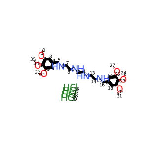 COc1cc(CNCCNCCNCCNCc2cc(OC)c(OC)c(OC)c2)cc(OC)c1OC.Cl.Cl.Cl.Cl